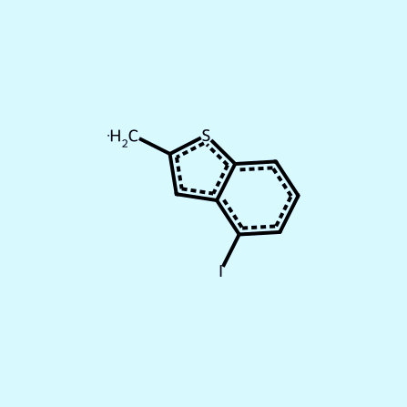 [CH2]c1cc2c(I)cccc2s1